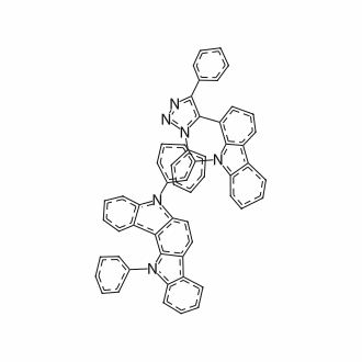 c1ccc(-c2nnn(-c3ccccc3)c2-c2cccc3c4ccccc4n(-c4cccc(-n5c6ccccc6c6c5ccc5c7ccccc7n(-c7ccccc7)c56)c4)c23)cc1